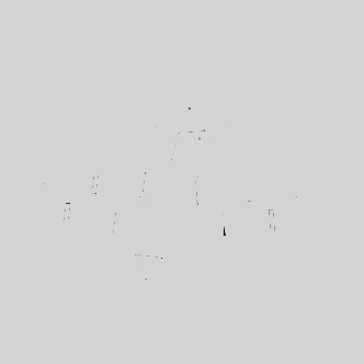 CC(C)(C)NC(=O)N[C@H](C(=O)N1C[C@H]2[C@@H]([C@H]1C(=O)NC(CC1CC1)C(=O)C(N)=O)C2(F)F)C(C)(C)C